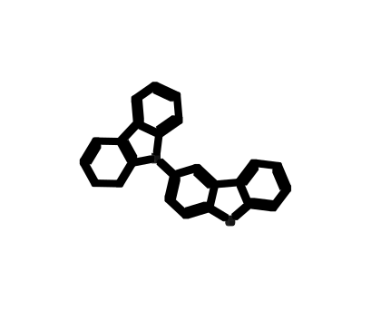 C1=Cc2c(n(-c3ccc4oc5ccccc5c4c3)c3ccccc23)CC1